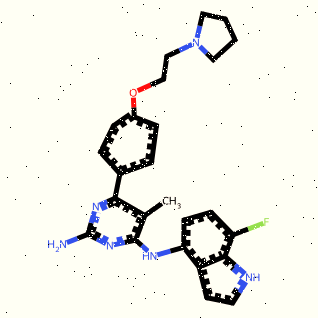 Cc1c(Nc2ccc(F)c3[nH]ccc23)nc(N)nc1-c1ccc(OCCN2CCCC2)cc1